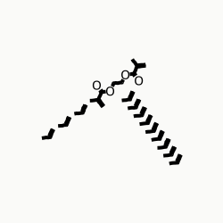 C=C(C)C(=O)OCCOC(=O)C(=C)C.C=CC.C=CC.C=CC.C=CC.C=CC.C=CC.C=CC.C=CC.C=CC.C=CC.C=CC.C=CC